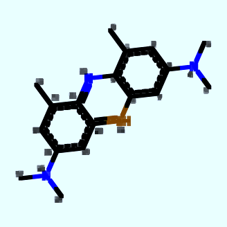 Cc1cc(N(C)C)cc2c1N=c1c(C)cc(N(C)C)cc1=[SH]2